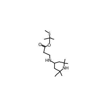 CSC(C)(C)OC(=O)CCNC1CC(C)(C)NC(C)(C)C1